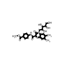 COC(=O)c1ccc(NC(=O)c2nc3cc(C)c(C)cc3n(CC(O)C(O)C(O)CO)c2=O)cc1